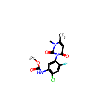 CC(C)OC(=O)Nc1cc(-n2c(=O)cc(C(F)(F)F)n(C)c2=O)c(F)cc1Cl